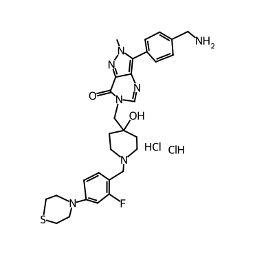 Cl.Cl.Cn1nc2c(=O)n(CC3(O)CCN(Cc4ccc(N5CCSCC5)cc4F)CC3)cnc2c1-c1ccc(CN)cc1